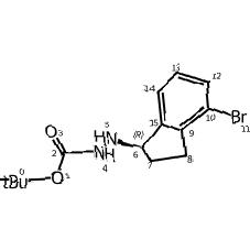 CC(C)(C)OC(=O)NN[C@@H]1CCc2c(Br)cccc21